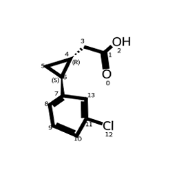 O=C(O)C[C@H]1C[C@@H]1c1cccc(Cl)c1